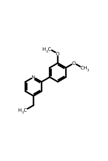 CCc1ccnc(-c2ccc(OC)c(OC)c2)c1